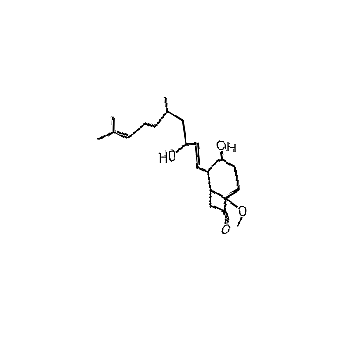 COC12CCC(O)C(C=CC(O)CC(C)CCC=C(C)C)C1CC2=O